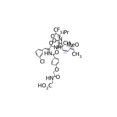 C=C(/C=C\C(=C/C)OC)[C@H](NC(=O)[C@H](Cc1cccc(Cl)c1)NC(=O)c1ccc(OCC(=O)NCC(=O)O)cc1)C(=O)N[C@H](C(=O)C(F)(F)F)C(C)C